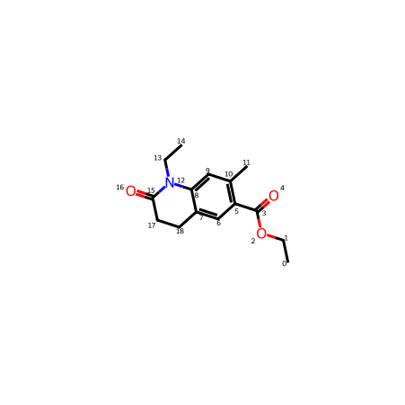 CCOC(=O)c1cc2c(cc1C)N(CC)C(=O)CC2